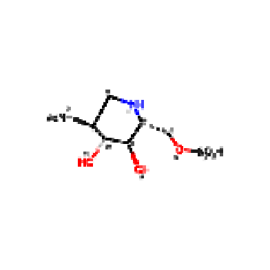 CC(=O)N[C@H]1CN[C@H](COS(=O)(=O)O)[C@@H](O)[C@@H]1O